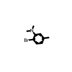 Cc1ccc(Br)c(N(C)C)c1